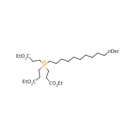 CCCCCCCCCCCCCCCCCCCC[PH](CCC(=O)OCC)(CCC(=O)OCC)CCC(=O)OCC